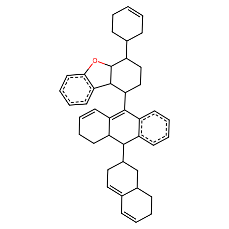 C1=CC2=CCC(C3c4ccccc4C(C4CCC(C5CC=CCC5)C5Oc6ccccc6C45)=C4C=CCCC43)CC2CC1